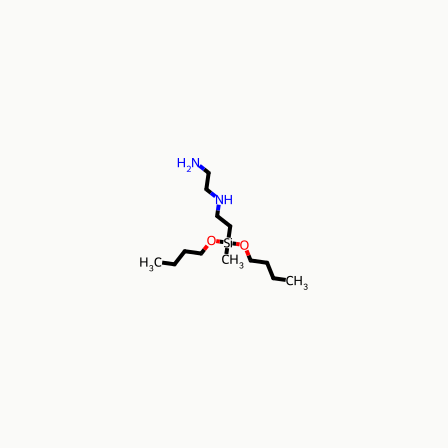 CCCCO[Si](C)(CCNCCN)OCCCC